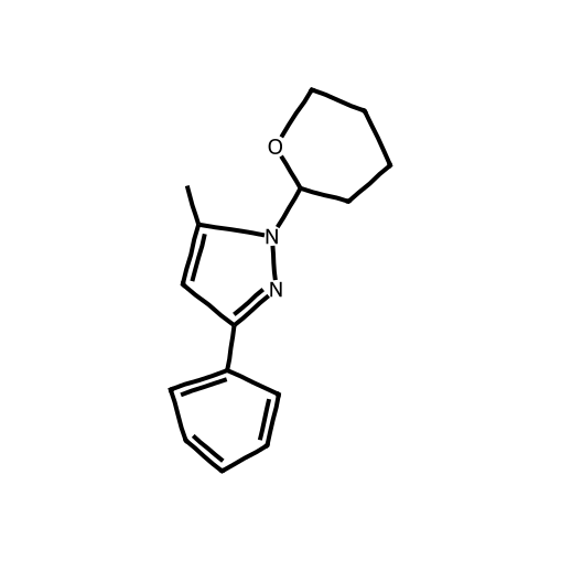 Cc1cc(-c2ccccc2)nn1C1CCCCO1